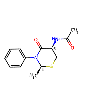 CC(=O)N[C@H]1CS[C@@H](C)N(c2ccccc2)C1=O